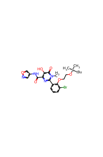 Cn1c(-c2cccc(Br)c2OCCO[Si](C)(C)C(C)(C)C)nc(C(=O)Nc2cnoc2)c(O)c1=O